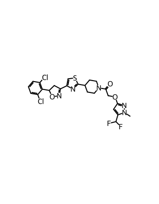 Cn1nc(OCC(=O)N2CCC(c3nc(C4=NOC(c5c(Cl)cccc5Cl)C4)cs3)CC2)cc1C(F)F